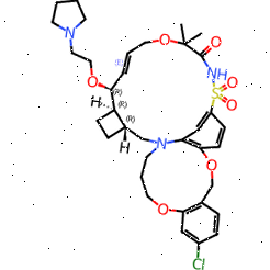 CC1(C)OC/C=C/[C@H](OCCN2CCCC2)[C@@H]2CC[C@H]2CN2CCCOc3cc(Cl)ccc3COc3ccc(cc32)S(=O)(=O)NC1=O